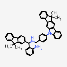 CC1(C)c2ccccc2-c2ccc(C(NCc3ccc(-n4c5ccccc5c5cc6c(cc54)-c4ccccc4C6(C)C)cc3)c3ccccc3N)cc21